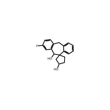 OC1CCC2(C1)c1ccccc1Cc1ccc(F)cc1C2O